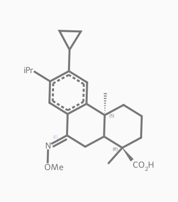 CO/N=C1\CC2[C@](C)(C(=O)O)CCC[C@]2(C)c2cc(C3CC3)c(C(C)C)cc21